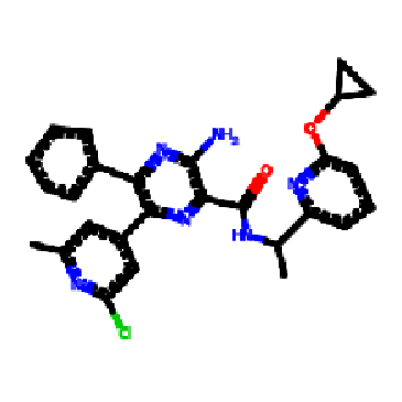 Cc1cc(-c2nc(C(=O)NC(C)c3cccc(OC4CC4)n3)c(N)nc2-c2ccccc2)cc(Cl)n1